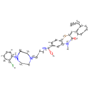 COc1ccccc1/C=C1/Sc2ccc(C(=O)NCCCN3CCN(c4ccccc4F)CC3)cc2N(C)C1=O